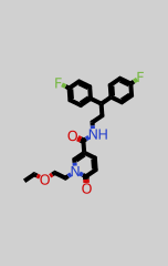 CCOCCn1cc(C(=O)NCCC(c2ccc(F)cc2)c2ccc(F)cc2)ccc1=O